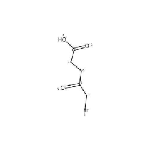 O=C(O)CCC(=O)CBr